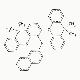 CC1(C)c2ccccc2Oc2c(N(c3ccc4ccccc4c3)c3cccc4c3Sc3ccccc3[Si]4(C)C)cccc21